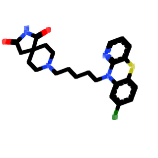 O=C1CC2(CCN(CCCCCN3c4cc(Cl)ccc4Sc4cccnc43)CC2)C(=O)N1